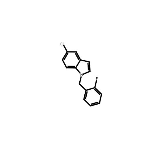 Fc1ccccc1Cn1[c]cc2cc(Cl)ccc21